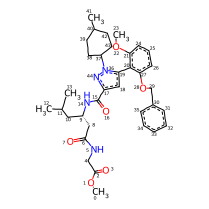 COC(=O)CNC(=O)C[C@H](CC(C)C)NC(=O)c1cc(-c2c(OC)cccc2OCc2ccccc2)n(C2CCC(C)CC2)n1